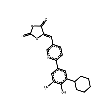 Nc1cc(-c2ccc(/C=C3\SC(=O)NC3=O)cn2)cc(C2CCCCC2)c1O